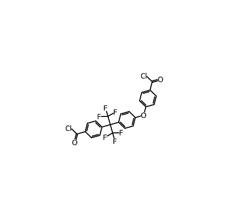 O=C(Cl)c1ccc(Oc2ccc(C(c3ccc(C(=O)Cl)cc3)(C(F)(F)F)C(F)(F)F)cc2)cc1